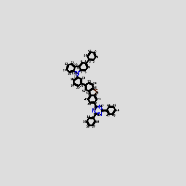 c1ccc(-c2ccc3c(c2)c2ccccc2n3-c2cccc(-c3ccc4sc5cc(-c6nc(-c7ccccc7)nc(-c7ccccc7)n6)ccc5c4c3)c2)cc1